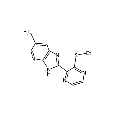 CCSc1nccnc1-c1nc2cc(C(F)(F)F)cnc2[nH]1